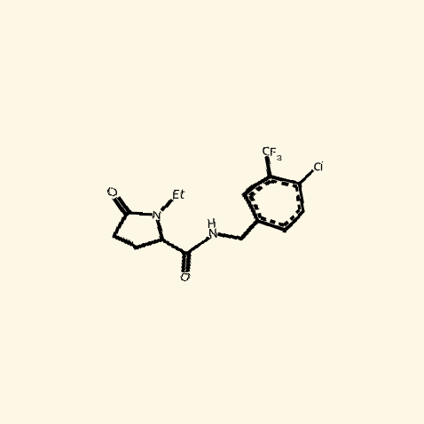 CCN1C(=O)CCC1C(=O)NCc1ccc(Cl)c(C(F)(F)F)c1